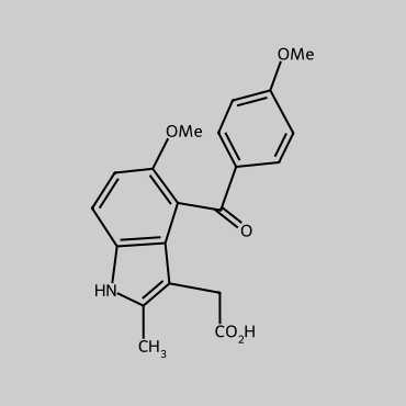 COc1ccc(C(=O)c2c(OC)ccc3[nH]c(C)c(CC(=O)O)c23)cc1